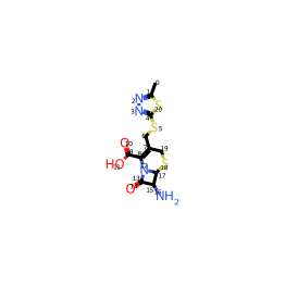 Cc1nnc(SCC2=C(C(=O)O)N3C(=O)C(N)C3SC2)s1